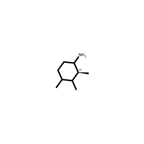 CC1CCC(N)[C@@H](C)C1C